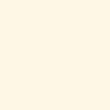 c1ccc2c(c1)Oc1ccccc1N2c1ccc(-c2ccc(N(c3ccc(-c4ccc(N5c6ccccc6Oc6ccccc65)cc4)cc3)c3ccc4ccccc4c3)cc2)cc1